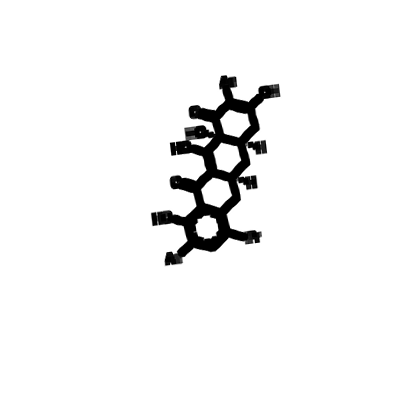 CC(=O)C1=C(O)C[C@H]2C[C@H]3Cc4c(C(C)C)cc(C(C)=O)c(O)c4C(=O)C3=C(O)[C@@]2(O)C1=O